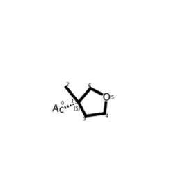 CC(=O)[C@@]1(C)CCOC1